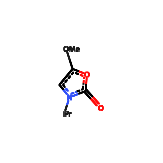 COc1cn(C(C)C)c(=O)o1